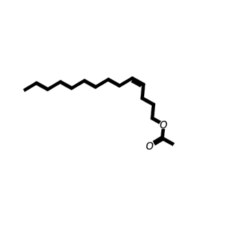 CCCCCCCCC/C=C\CCCOC(C)=O